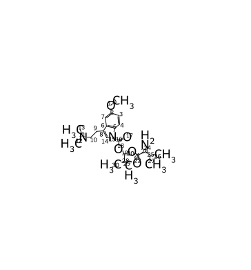 COc1ccc2c(c1)c(CCN(C)C)cn2C(=O)OC(OC(=O)C(N)C(C)C)C(C)C